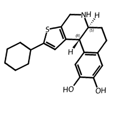 Oc1cc2c(cc1O)[C@@H]1c3cc(C4CCCCC4)sc3CN[C@H]1CC2